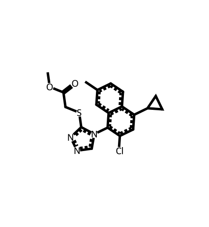 COC(=O)CSc1nncn1-c1c(Cl)cc(C2CC2)c2ccc(C)cc12